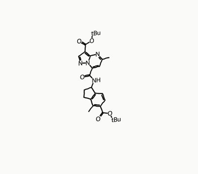 Cc1cc(C(=O)NC2CCc3c2ccc(C(=O)OC(C)(C)C)c3C)n2ncc(C(=O)OC(C)(C)C)c2n1